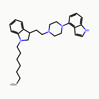 CCCCCCCCCCCCCCCCN1CC(CCN2CCN(c3cccc4[nH]ccc34)CC2)c2ccccc21